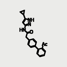 CC(=O)c1ccccc1-c1ccc(CC(=O)Nc2cc(C3CC3)[nH]n2)cc1